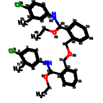 CCOB(Nc1ccc(Cl)c(C)c1)c1ccccc1COCc1ccccc1B(Nc1ccc(Cl)c(C)c1)OCC